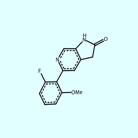 COc1cccc(F)c1-c1cc2c(cn1)NC(=O)C2